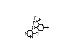 Fc1ccc(Oc2cncnc2Cl)c(C(F)(F)F)c1